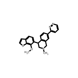 COc1c(C2CN(C)Cc3cc(-c4cccnn4)ccc32)ccc2ccsc12